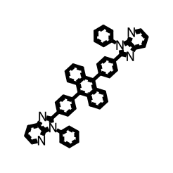 c1ccc(-n2c(-c3ccc(-c4c5ccccc5c(-c5ccc(-c6nc7cccnc7n6-c6ccccc6)cc5)c5ccccc45)cc3)nc3cccnc32)cc1